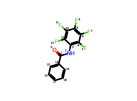 O=C(Nc1c(F)c(F)c(F)c(F)c1F)c1ccccc1